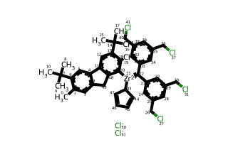 Cc1cc2c(cc1C(C)(C)C)-c1cc(C(C)(C)C)c(C)[c]([Zr+2](=[C](c3cc(CCl)cc(CCl)c3)c3cc(CCl)cc(CCl)c3)[CH]3C=CC=C3)c1C2.[Cl-].[Cl-]